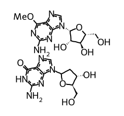 COc1nc(N)nc2c1ncn2[C@@H]1O[C@H](CO)[C@@H](O)[C@@H]1O.Nc1nc2c(ncn2C2C[C@H](O)[C@@H](CO)O2)c(=O)[nH]1